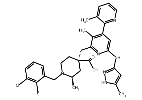 Cc1cc(Nc2cc(-c3ncccc3C)c(C)c(C[C@@]3(C(=O)O)CCN(Cc4cccc(Cl)c4F)[C@H](C)C3)n2)n[nH]1